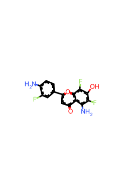 Nc1ccc(-c2cc(=O)c3c(N)c(F)c(O)c(F)c3o2)cc1F